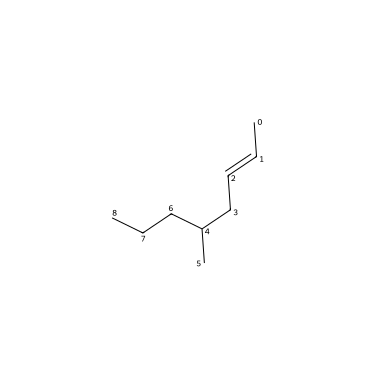 C/C=C/CC(C)CCC